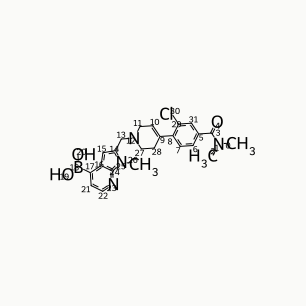 CN(C)C(=O)c1ccc(C2=CCN(Cc3cc4c(B(O)O)ccnc4n3C)CC2)c(Cl)c1